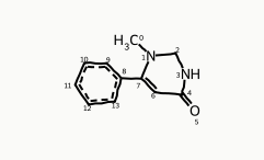 CN1CNC(=O)C=C1c1ccccc1